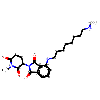 CN1C(=O)CCC(N2C(=O)c3cccc(NCCCCCCCCNC(=O)O)c3C2=O)C1=O